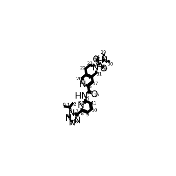 CC(C)n1nnnc1-c1cccc(NC(=O)c2cc3c(cn2)CCN(S(=O)(=O)N(C)C)C3)n1